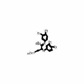 CCCCCCCCC#CC(=Nc1ccc(CC)c(CC)c1)C(CCCC)=Nc1ccc(CC)c(CC)c1